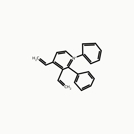 C=Cc1cc[n+](-c2ccccc2)c(-c2ccccc2)c1C=C